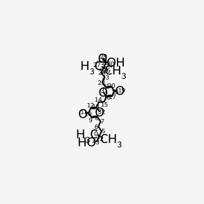 CC(C)(CO)CCCc1cc(=O)cc(CCc2cc(=O)cc(CCCC(C)(C)C(=O)O)o2)o1